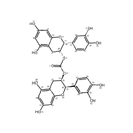 O=C(O[C@@H]1Cc2c(O)cc(O)cc2O[C@@H]1c1ccc(O)c(O)c1)O[C@@H]1Cc2c(O)cc(O)cc2O[C@@H]1c1ccc(O)c(O)c1